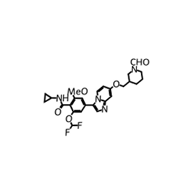 COc1cc(-c2cnc3cc(OCC4CCCN(C=O)C4)ccn23)cc(OC(F)F)c1C(=O)NC1CC1